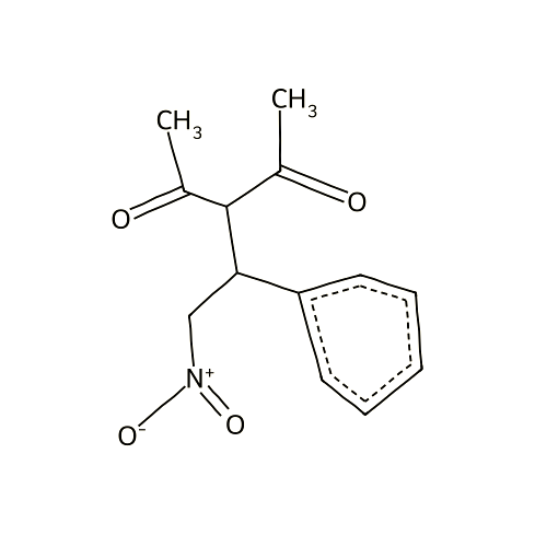 CC(=O)C(C(C)=O)C(C[N+](=O)[O-])c1ccccc1